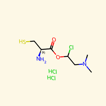 CN(C)CC(Cl)OC(=O)[C@@H](N)CS.Cl.Cl